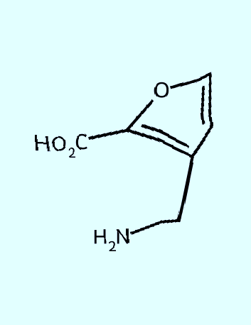 NCc1ccoc1C(=O)O